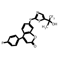 CC(O)(c1cnc(Sc2ccc3c(-c4ccc(F)cc4)cc(=O)oc3c2)s1)C(F)(F)F